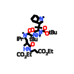 CCOC(=O)CC[C@@H](NC(=O)/C(C)=C/[C@H](C(C)C)N(C)C(=O)[C@@H](NC(=O)[C@@H](N(C)C(=O)OC(C)(C)C)C(C)(C)c1cn(C)c2ccccc12)C(C)(C)C)C(=O)OCC